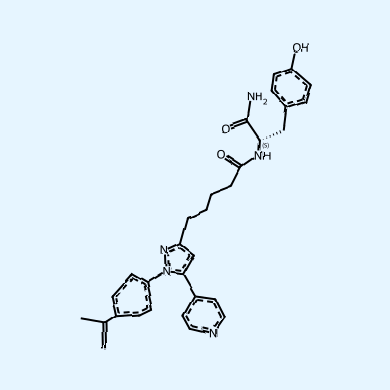 C=C(C)c1ccc(-n2nc(CCCCC(=O)N[C@@H](Cc3ccc(O)cc3)C(N)=O)cc2-c2ccncc2)cc1